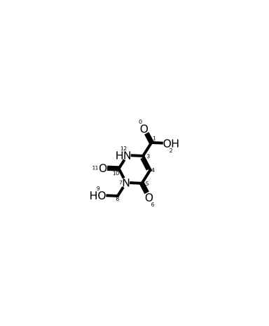 O=C(O)c1cc(=O)n(CO)c(=O)[nH]1